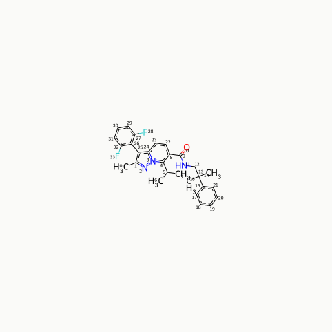 Cc1nn2c(C(C)C)c(C(=O)NCC(C)(C)c3ccccc3)ccc2c1-c1c(F)cccc1F